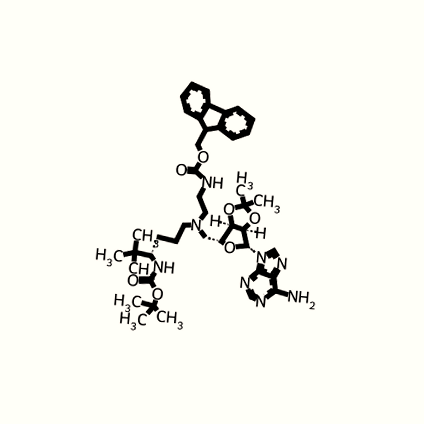 CC(C)(C)OC(=O)N[C@@H](CCCN(CCNC(=O)OCC1c2ccccc2-c2ccccc21)C[C@H]1O[C@@H](n2cnc3c(N)ncnc32)[C@@H]2OC(C)(C)O[C@@H]21)C(C)(C)C